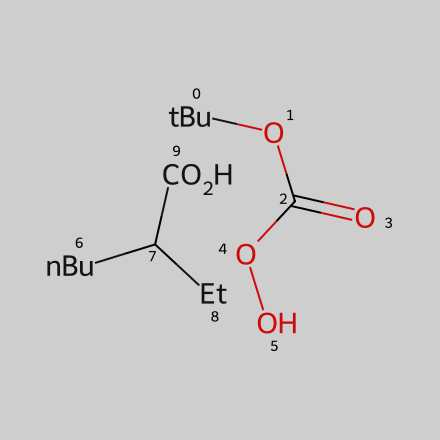 CC(C)(C)OC(=O)OO.CCCCC(CC)C(=O)O